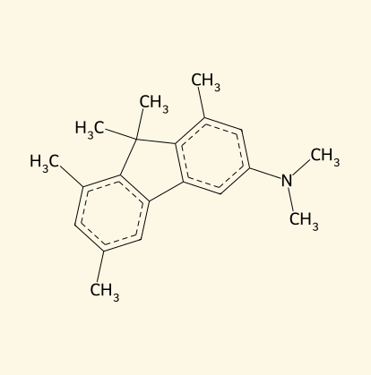 Cc1cc(C)c2c(c1)-c1cc(N(C)C)cc(C)c1C2(C)C